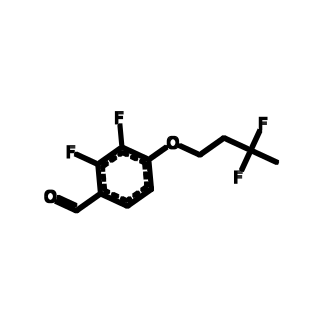 CC(F)(F)CCOc1ccc(C=O)c(F)c1F